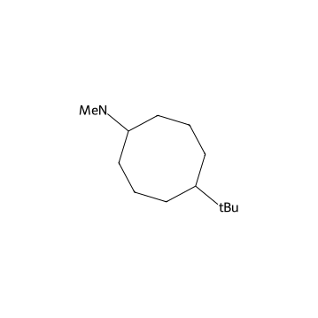 CNC1CCCC(C(C)(C)C)CCC1